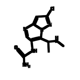 CNC(C)c1c(NC(N)=O)cnc2cc(Cl)nn12